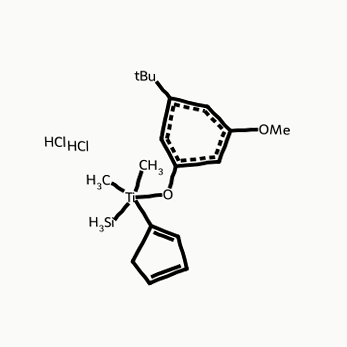 COc1cc([O][Ti]([CH3])([CH3])([SiH3])[C]2=CC=CC2)cc(C(C)(C)C)c1.Cl.Cl